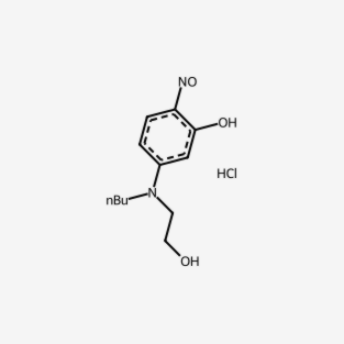 CCCCN(CCO)c1ccc(N=O)c(O)c1.Cl